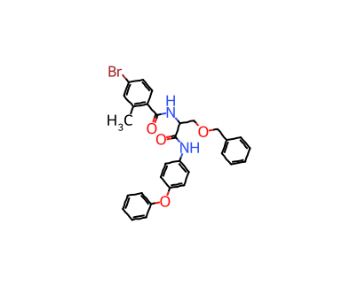 Cc1cc(Br)ccc1C(=O)NC(COCc1ccccc1)C(=O)Nc1ccc(Oc2ccccc2)cc1